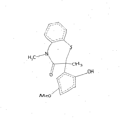 COc1ccc(O)c(C2(C)Sc3ccccc3N(C)C2=O)c1